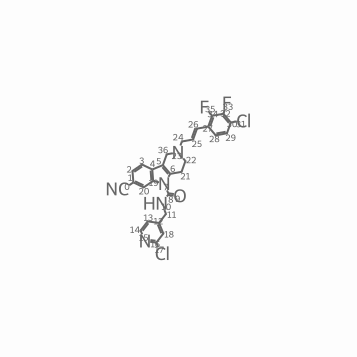 N#Cc1ccc2c3c(n(C(=O)NCc4ccnc(Cl)c4)c2c1)CCN(C/C=C/c1ccc(Cl)c(F)c1F)C3